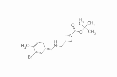 CC1=CC/C(=C\NCC2CN(C(=O)OC(C)(C)C)C2)C=C1Br